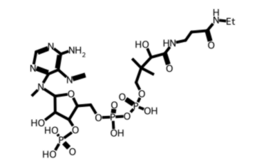 C=Nc1c(N)ncnc1N(C)C1OC(COP(=O)(O)OP(=O)(O)OCC(C)(C)C(O)C(=O)NCCC(=O)NCC)C(OP(=O)(O)O)C1O